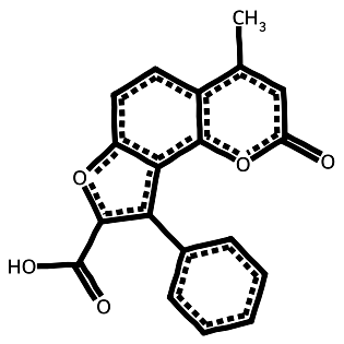 Cc1cc(=O)oc2c1ccc1oc(C(=O)O)c(-c3ccccc3)c12